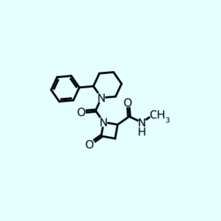 CNC(=O)C1CC(=O)N1C(=O)N1CCCCC1c1ccccc1